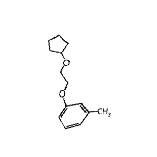 Cc1cccc(OCCOC2CCCC2)c1